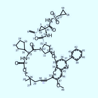 C=C[C@@H]1C[C@]1(NC(=O)[C@@H]1C[C@@H]2CN1C(=O)[C@H](C1CCCC1)NC(=O)OCC(C)(C)C/C=C/c1cc3c(cc(-c4ccccc4)nc3cc1OC)O2)C(=O)NS(=O)(=O)C1CC1